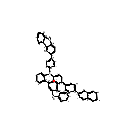 c1ccc(N(c2ccc(-c3ccc(-c4ccc5ccccc5c4)cc3)cc2)c2ccc(-c3ccc4oc5ccccc5c4c3)cc2)c(-c2ccc3c(c2)oc2ccccc23)c1